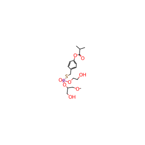 COCC(CO)OP(=O)(OCCO)SCc1ccc(OC(=O)C(C)C)cc1